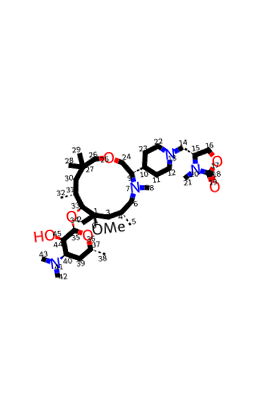 CO[C@]1(C)C[C@@H](C)CN(C)[C@@H](C2CCN(C[C@@H]3COC(=O)N3C)CC2)COCC(C)(C)C[C@@H](C)[C@H]1O[C@@H]1O[C@H](C)C[C@H](N(C)C)[C@H]1O